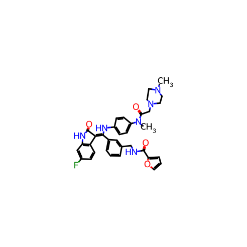 CN1CCN(CC(=O)N(C)c2ccc(N/C(=C3\C(=O)Nc4cc(F)ccc43)c3cccc(CNC(=O)c4ccco4)c3)cc2)CC1